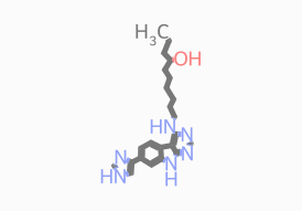 CCCC(O)CCCCCCNc1ncnc2[nH]c3cc(-c4c[nH]cn4)ccc3c12